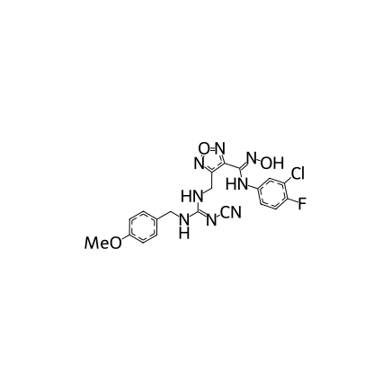 COc1ccc(CNC(=NC#N)NCc2nonc2C(=NO)Nc2ccc(F)c(Cl)c2)cc1